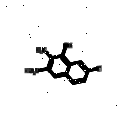 Cc1c(C(=O)O)cc2ccc(Cl)cc2c1O